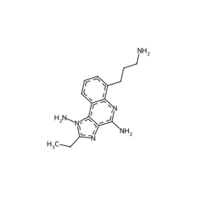 CCc1nc2c(N)nc3c(CCCN)cccc3c2n1N